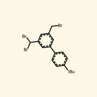 CC(C)(C)c1ccc(-c2cc(CBr)cc(C(Br)Br)c2)cc1